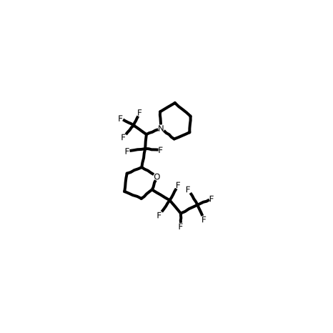 FC(C(F)(F)F)C(F)(F)C1CCCC(C(F)(F)C(N2CCCCC2)C(F)(F)F)O1